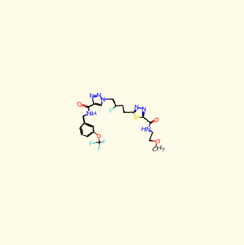 COCCNC(=O)c1nnc(CCC(F)Cn2cc(C(=O)NCc3cccc(OC(F)(F)F)c3)nn2)s1